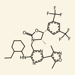 CCC1CCCCC1Nc1ncc(-c2c(C)noc2C)nc1CN1C(=O)O[C@H](c2cc(C(F)(F)F)cc(C(F)(F)F)c2)[C@@H]1C